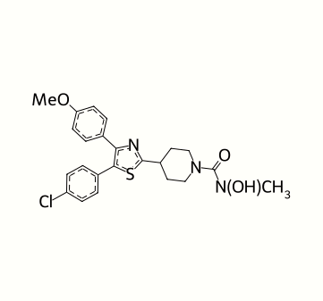 COc1ccc(-c2nc(C3CCN(C(=O)N(C)O)CC3)sc2-c2ccc(Cl)cc2)cc1